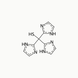 SC(c1ncc[nH]1)(c1ncc[nH]1)c1ncc[nH]1